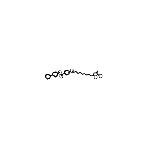 C=C1CC(CCCCCCCCCOc2ccc(C(=O)Oc3ccc(-c4ccccc4)cc3)cc2)OC1=O